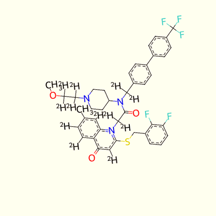 [2H]c1c(C)c([2H])c2c(c1[2H])c(=O)c([2H])c(SCc1cccc(F)c1F)n2C([2H])([2H])C(=O)N(C1CCN(C([2H])([2H])C([2H])([2H])OC)CC1)C([2H])([2H])c1ccc(-c2ccc(C(F)(F)F)cc2)cc1